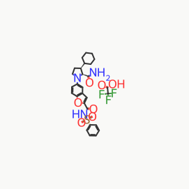 NC(=O)[C@@H]1[C@H](C2CCCCC2)CCN1c1ccc2oc(C(=O)NS(=O)(=O)c3ccccc3)cc2c1.O=C(O)C(F)(F)F